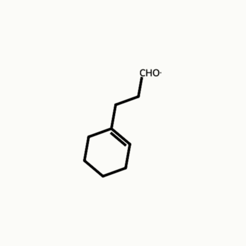 O=[C]CCC1=CCCCC1